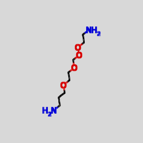 NCCCOCCOCOOCCN